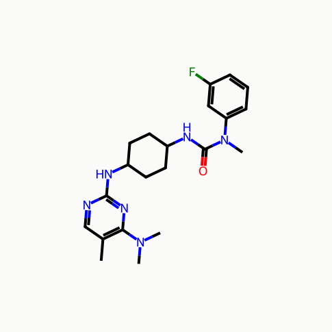 Cc1cnc(NC2CCC(NC(=O)N(C)c3cccc(F)c3)CC2)nc1N(C)C